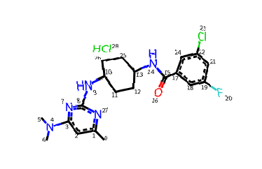 Cc1cc(N(C)C)nc(NC2CCC(NC(=O)c3cc(F)cc(Cl)c3)CC2)n1.Cl